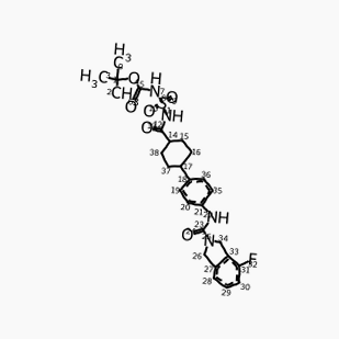 CC(C)(C)OC(=O)NS(=O)(=O)NC(=O)C1CCC(c2ccc(NC(=O)N3Cc4cccc(F)c4C3)cc2)CC1